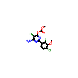 COC(=O)Oc1nc(-c2ccc(Cl)c(OC)c2F)nc(N)c1Cl